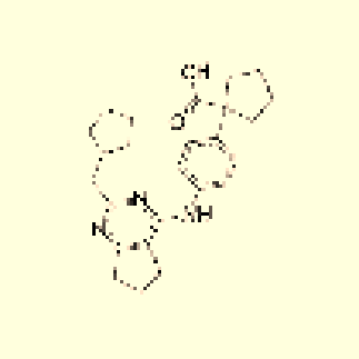 O=C(O)C1(c2ccc(Nc3nc(CC4CCCC4)nc4c3CCC4)cc2)CCCC1